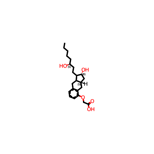 CCCCC[C@H](O)CCC1C2Cc3cccc(OCC(=O)O)c3C[C@H]2C[C@H]1O